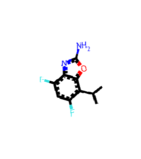 CC(C)c1c(F)cc(F)c2nc(N)oc12